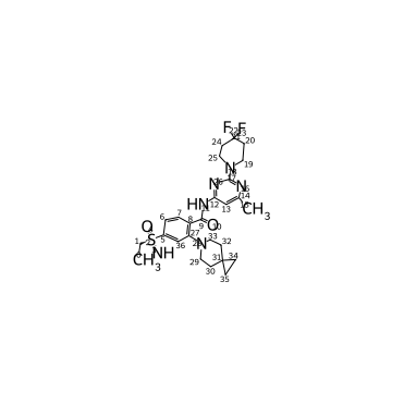 CC[S@@](=N)(=O)c1ccc(C(=O)Nc2cc(C)nc(N3CCC(F)(F)CC3)n2)c(N2CCC3(CC2)CC3)c1